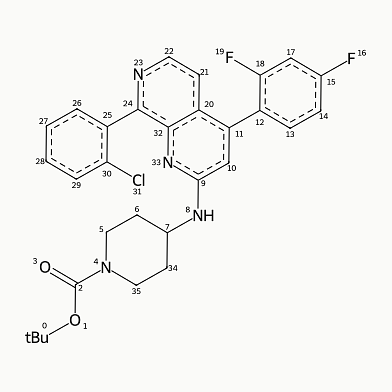 CC(C)(C)OC(=O)N1CCC(Nc2cc(-c3ccc(F)cc3F)c3ccnc(-c4ccccc4Cl)c3n2)CC1